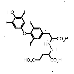 O=C(O)CCC(NN[C@@H](Cc1cc(I)c(Oc2cc(I)c(O)c(I)c2)c(I)c1)C(=O)O)C(=O)O